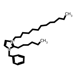 CCCCCCCCCCCCC[n+]1ccn(Cc2ccccc2)c1CCCCCC